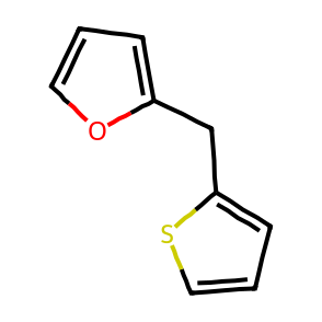 c1coc(Cc2cccs2)c1